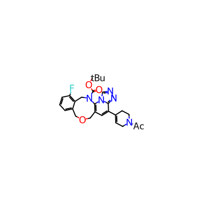 CC(=O)N1CC=C(c2cc3c(n4cnnc24)N(C(=O)OC(C)(C)C)Cc2c(F)cccc2COC3)CC1